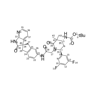 CC(C)(C)OC(=O)N[C@@H]1C[C@@H](c2cc(F)cc(F)c2)N(CC(=O)Nc2ccc3c(c2)C[C@@]2(C3)C(=O)Nc3ncccc32)C(=O)C1(C)C